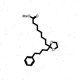 COC(=O)CCCCCCCC1(CCCCc2ccccc2)OCCO1